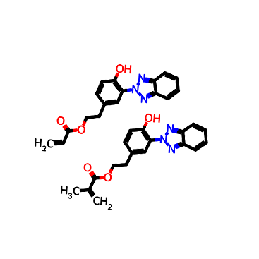 C=C(C)C(=O)OCCc1ccc(O)c(-n2nc3ccccc3n2)c1.C=CC(=O)OCCc1ccc(O)c(-n2nc3ccccc3n2)c1